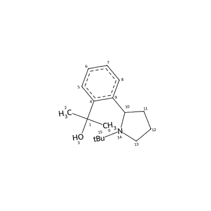 CC(C)(O)c1ccccc1C1CCCN1C(C)(C)C